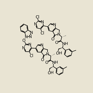 Cc1cccc([C@@H](CO)NC(=O)[C@@H](C)N2Cc3ncc(-c4nc(Cl)ncc4Cl)cc3C2=O)c1.Cc1cccc([C@@H](CO)NC(=O)[C@@H](C)N2Cc3ncc(-c4nc(On5nnc6ccccc65)ncc4Cl)cc3C2=O)c1